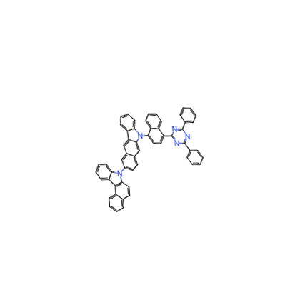 c1ccc(-c2nc(-c3ccccc3)nc(-c3ccc(-n4c5ccccc5c5cc6cc(-n7c8ccccc8c8c9ccccc9ccc87)ccc6cc54)c4ccccc34)n2)cc1